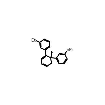 CCCc1cccc(C2(F)CC=CC=C2c2cccc(CC)c2)c1